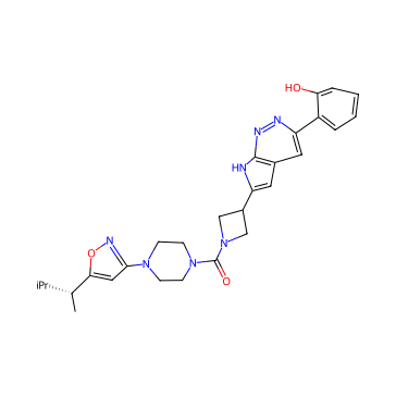 CC(C)[C@@H](C)c1cc(N2CCN(C(=O)N3CC(c4cc5cc(-c6ccccc6O)nnc5[nH]4)C3)CC2)no1